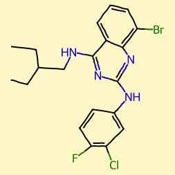 CCC(CC)CNc1nc(Nc2ccc(F)c(Cl)c2)nc2c(Br)cccc12